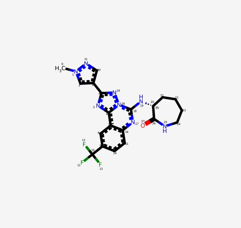 Cn1cc(-c2nc3c4cc(C(F)(F)F)ccc4nc(N[C@@H]4CCCCNC4=O)n3n2)cn1